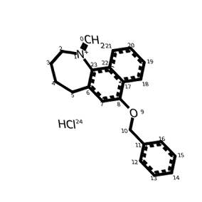 C=[N+]1CCCCc2cc(OCc3ccccc3)c3ccccc3c21.Cl